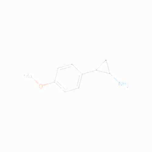 CC(C)(C)Oc1ccc(C2CC2N)cc1